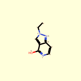 CCn1cc2c(O)nccc2n1